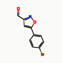 O=Cc1cc(-c2ccc(Br)cc2)on1